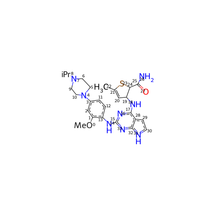 COc1cc(N2CCN(C(C)C)CC2)ccc1Nc1nc(NC2C=C(C)SC2C(N)=O)c2cc[nH]c2n1